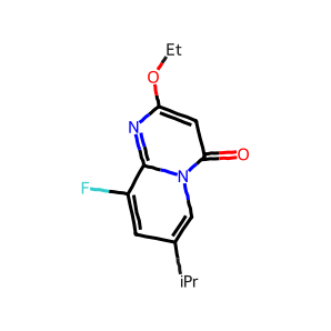 CCOc1cc(=O)n2cc(C(C)C)cc(F)c2n1